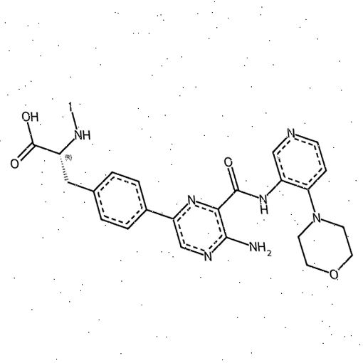 Nc1ncc(-c2ccc(C[C@@H](NI)C(=O)O)cc2)nc1C(=O)Nc1cnccc1N1CCOCC1